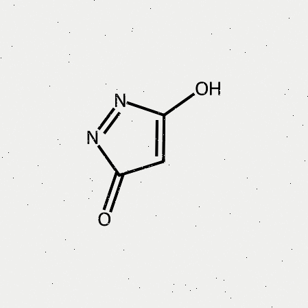 O=C1C=C(O)N=N1